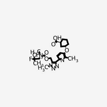 Cc1nc(-c2nnn(C)c2COC(=O)N(C)CC(C)(C)F)ccc1O[C@H]1CCC[C@H](C(=O)O)C1